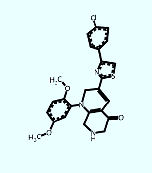 COc1ccc(OC)c(N2CC(c3nc(-c4ccc(Cl)cc4)cs3)=CC3=C2CNCC3=O)c1